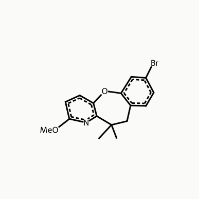 COc1ccc2c(n1)C(C)(C)Cc1ccc(Br)cc1O2